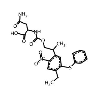 CCc1cc([N+](=O)[O-])c(C(C)COC(=O)NC(CC(N)=O)C(=O)O)cc1Sc1ccccc1